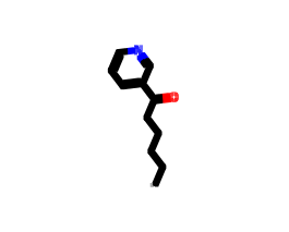 [CH2]CCCCC(=O)c1cccnc1